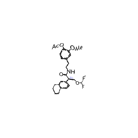 COc1cc(CCNC(=O)/C(=C/OC(F)F)c2ccc3c(c2)CCCC3)ccc1OC(C)=O